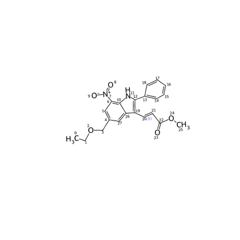 CCOCc1cc([N+](=O)[O-])c2[nH]c(-c3ccccc3)c(/C=C/C(=O)OC)c2c1